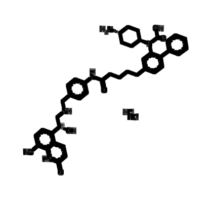 Cl.Cl.N[C@H]1CC[C@H](N(C(=O)O)c2cc(CCCCC(=O)Nc3ccc(CNC[C@H](O)c4ccc(O)c5[nH]c(=O)ccc45)cc3)ccc2-c2ccccc2)CC1